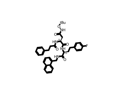 CC(C)(C)ONC(=O)C[C@H](NC(=O)CCc1ccccc1)C(=O)N[C@@H](CCc1ccc(F)cc1)C(=O)NCc1cccc2ccccc12